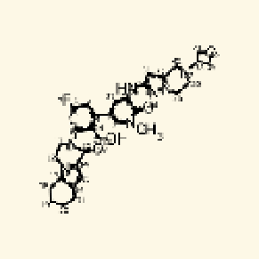 Cn1cc(-c2cc(F)cc(N3CCn4c(cc5c4CCCC5)C3=O)c2CO)cc(Nc2cc3n(n2)CCN(C2COC2)C3)c1=O